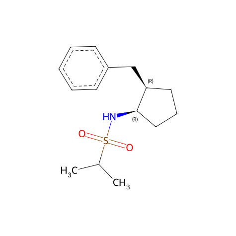 CC(C)S(=O)(=O)N[C@@H]1CCC[C@@H]1Cc1ccccc1